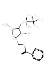 B[C@@H]1O[C@H](COC(=O)c2ccccc2)[C@H](O)C1O[Si](C)(C)C(C)(C)C